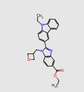 CCOC(=O)c1ccc2c(c1)nc(-c1ccc3c(c1)c1ccccc1n3CC)n2CC1COC1